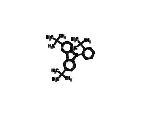 CC(C)(C)c1ccc2c(c1)c1cc(C(C)(C)C)ccc1n2-c1ccccc1C(C)(C)C